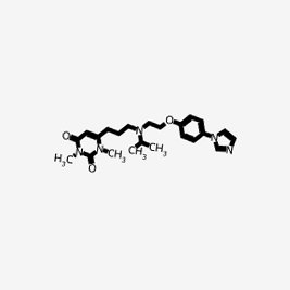 CC(C)N(CCCc1cc(=O)n(C)c(=O)n1C)CCOc1ccc(-n2ccnc2)cc1